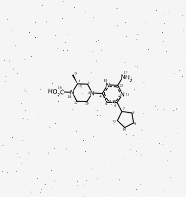 C[C@H]1CN(c2cc(C3CCCC3)nc(N)n2)CCN1C(=O)O